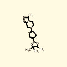 CC1OB(c2cnc(N3CCn4c(nnc4C(F)(F)F)C3)nc2)OC1(C)C